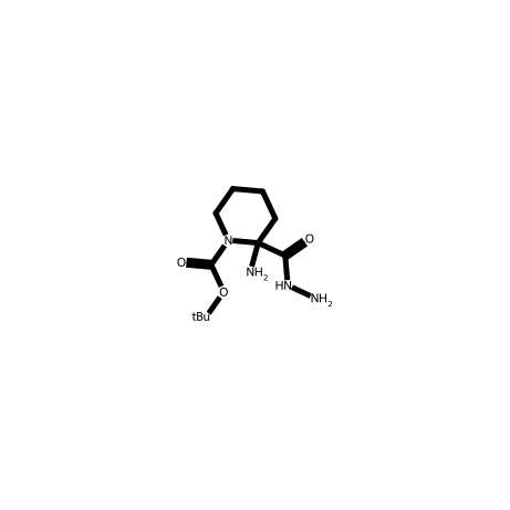 CC(C)(C)OC(=O)N1CCCCC1(N)C(=O)NN